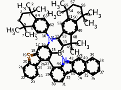 CC1(C)CCC(C)(C)c2cc(N3C4=C(B5c6c3cc3sc7ccccc7c3c6-c3cccc6c7cc8ccccc8cc7n5c36)C(C)(C)c3cc5c(cc34)C(C)(C)CCC5(C)C)ccc21